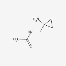 CC(=O)NCC1(N)CC1